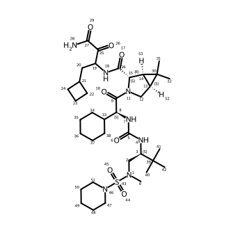 CN(C[C@@H](NC(=O)N[C@H](C(=O)N1C[C@H]2[C@@H]([C@H]1C(=O)NC(CC1CCC1)C(=O)C(N)=O)C2(C)C)C1CCCCC1)C(C)(C)C)S(=O)(=O)N1CCCCC1